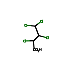 O=C(O)C(Cl)C(Cl)C(Cl)Cl